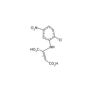 O=C(O)/C=C(\Nc1cc([N+](=O)[O-])ccc1Cl)C(=O)O